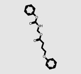 O=C(CCCOc1ccccc1)OCNC(=O)Oc1ccccc1